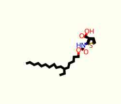 CCCCCCCCCCC(CC)CCCCCOC(=O)Nc1sccc1C(=O)O